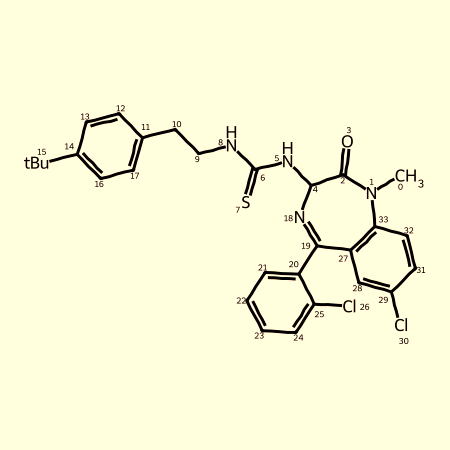 CN1C(=O)C(NC(=S)NCCc2ccc(C(C)(C)C)cc2)N=C(c2ccccc2Cl)c2cc(Cl)ccc21